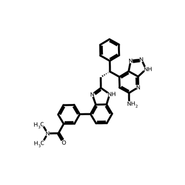 CN(C)C(=O)c1cccc(-c2cccc3[nH]c(C[C@H](c4ccccc4)c4cc(N)nc5[nH]nnc45)nc23)c1